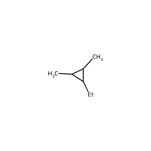 C[CH]C1C(C)C1C